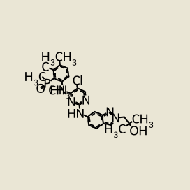 Cc1ccc(Nc2nc(Nc3ccc4cn(CC(C)(C)O)nc4c3)ncc2Cl)c(P(C)(C)=O)c1C